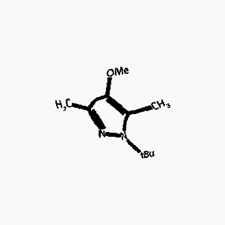 COc1c(C)nn(C(C)(C)C)c1C